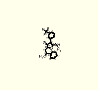 CNC1=C(c2cccc(C(F)(F)F)c2)C(=O)C(CC(C)c2ccccc2)O1